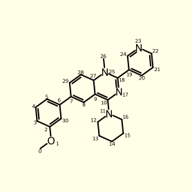 COc1cccc(C2=CC3=C(N4CCCCC4)N=C(c4cccnc4)N(C)C3C=C2)c1